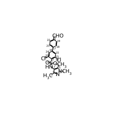 Cc1nn(C)c(C)c1NS(=O)(=O)c1c(Cl)cc(-c2ccc(C=O)cc2)cc1Cl